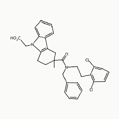 CC1(C(=O)N(CCc2c(Cl)cccc2Cl)Cc2ccccc2)CCc2c(c3ccccc3n2CC(=O)O)C1